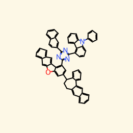 c1ccc(-n2c3ccccc3c3c(-c4nc(-c5ccc6ccccc6c5)nc(-c5cc(C6CCc7cc8ccccc8cc7-c7ccccc76)cc6oc7cc8ccccc8cc7c56)n4)cccc32)cc1